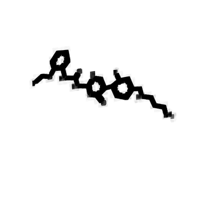 NCCCNCc1ccc(-c2c[nH]c(NC(=O)Nc3ccccc3OCF)nc2=O)c(F)c1